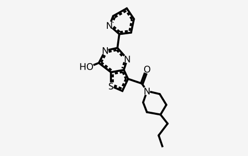 CCCC1CCN(C(=O)c2csc3c(O)nc(-c4ccccn4)nc23)CC1